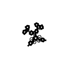 Cc1ccc(S(=O)(=O)c2cc(-n3c4ccc(-n5c6ccccc6c6ccccc65)cc4c4cc(-n5c6ccccc6c6ccccc65)ccc43)cc(S(=O)(=O)c3ccc(C)cc3)c2)cc1